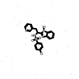 CCn1c(C(Cc2cccnc2)NS(=O)(=O)c2ccc(Cl)cc2)nc2ccccc21